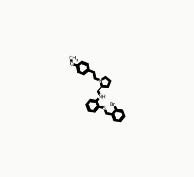 COc1ccc(CCN2CCC[C@H]2CNc2ccccc2SCc2ccccc2Br)cc1